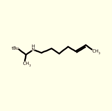 CC=CCCCCNC(C)C(C)(C)C